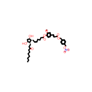 CCCCCCCC(=O)CC[C@@H]1[C@@H](C/C=C\CCCC(=O)Oc2ccc(/C=C/C(=O)OCc3ccc(CO[N+](=O)[O-])cc3)cc2OC)[C@@H](O)C[C@H]1O